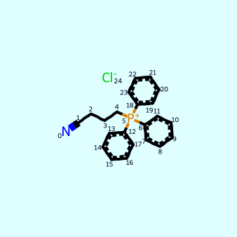 N#CCCC[P+](c1ccccc1)(c1ccccc1)c1ccccc1.[Cl-]